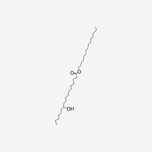 CCCCCCCCCCCCCCCOC(=O)CCCCCCCCCCC(O)CCCCCC